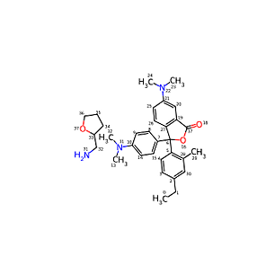 CCc1ccc(C2(c3ccc(N(C)C)cc3)OC(=O)c3cc(N(C)C)ccc32)c(C)c1.NCC1CCCO1